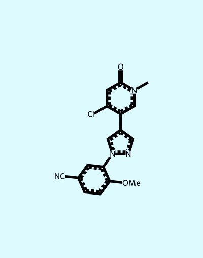 COc1ccc(C#N)cc1-n1cc(-c2cn(C)c(=O)cc2Cl)cn1